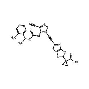 Cc1ccccc1C(C)OC(=O)Nc1c(C#N)nsc1C#Cc1nc2oc(C3(C(=O)O)CC3)nc2o1